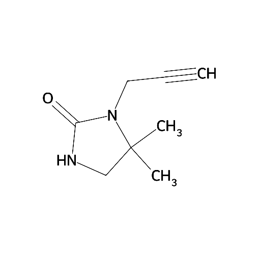 C#CCN1C(=O)NCC1(C)C